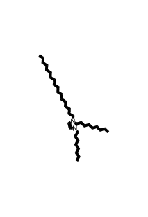 CCCCCCCCCCCCCCCCCCN1C=CN(CCCCCCCC)C1CCCCCCCC